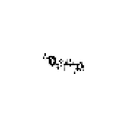 COc1ccc(S(=O)(=O)NC(=N)CCN2CCOC2=O)cc1